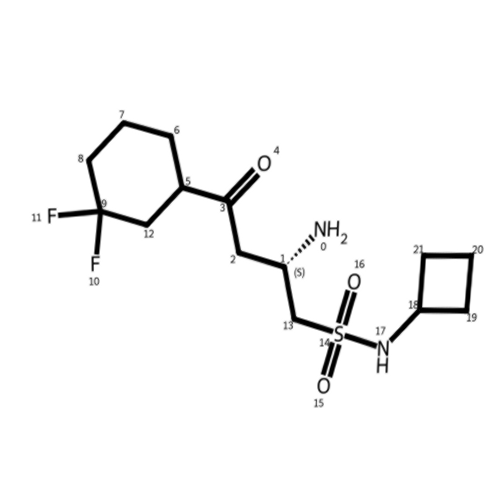 N[C@@H](CC(=O)C1CCCC(F)(F)C1)CS(=O)(=O)NC1CCC1